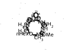 CCCCCC[C@H]1OC[C@@H](C)NC(=O)[C@H](COC)NC(=O)[C@H](CN)NC(=O)[C@H](C2CCCCC2)NC(=O)[C@H](CC(C)C)N(C)C(=O)[C@@H]1C